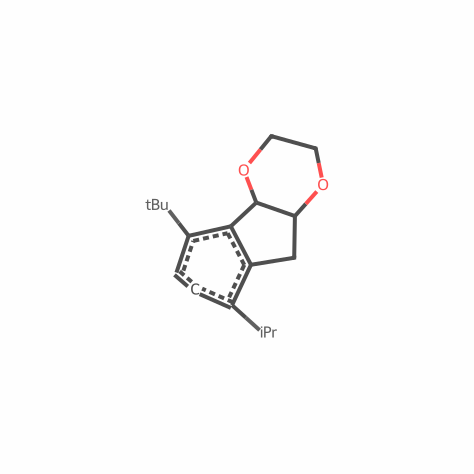 CC(C)c1ccc(C(C)(C)C)c2c1CC1OCCOC21